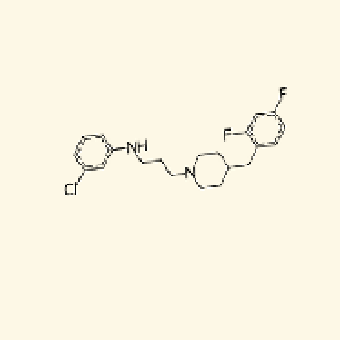 Fc1ccc(CC2CCN(CCCNc3cccc(Cl)c3)CC2)c(F)c1